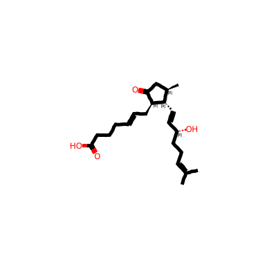 CC(C)=CCC[C@@H](O)C=C[C@H]1[C@H](C)CC(=O)[C@@H]1CC=CCCCC(=O)O